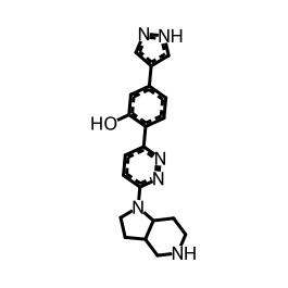 Oc1cc(-c2cn[nH]c2)ccc1-c1ccc(N2CCC3CNCCC32)nn1